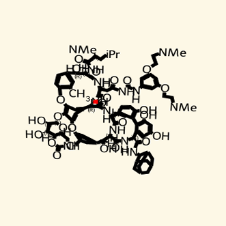 CNCCOc1cc(NC(=O)NC(=O)C[C@@H]2NC(=O)[C@H](NC(=O)[C@@H](CC(C)C)NC)[C@H](O)c3ccc(c(C)c3)Oc3cc4cc(c3O[C@@H]3O[C@@H]5CNC(=O)O[C@H]5[C@H](O)[C@H]3O)Oc3ccc(cc3Cl)[C@@H](O)[C@@H]3NC(=O)[C@H](NC(=O)[C@@H]4NC2=O)c2ccc(O)c(c2)-c2c(O)cc(O)cc2[C@@H](C(=O)NC2C4CC5CC(C4)CC2C5)NC3=O)cc(OCCNC)c1